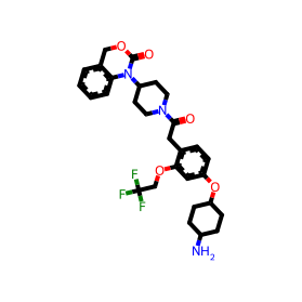 NC1CCC(Oc2ccc(CC(=O)N3CCC(N4C(=O)OCc5ccccc54)CC3)c(OCC(F)(F)F)c2)CC1